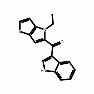 CCn1c(C(=O)c2c[nH]c3ccccc23)cc2sccc21